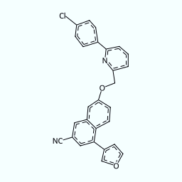 N#Cc1cc(-c2ccoc2)c2ccc(OCc3cccc(-c4ccc(Cl)cc4)n3)cc2c1